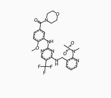 COc1ccc(C(=O)N2CCOCC2)cc1Nc1ncc(C(F)(F)F)c(NCc2cccnc2N(C)S(C)(=O)=O)n1